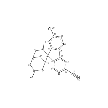 CC1CC2CC(C)C3(c4ccc(C#N)cc4-c4ccc(Cl)cc43)C(C1)C2